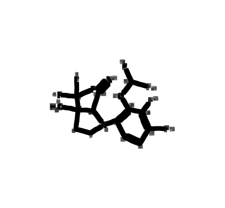 CC1(C(F)(F)F)CCN(c2ccc(F)c(F)c2OC(F)F)C1C#N